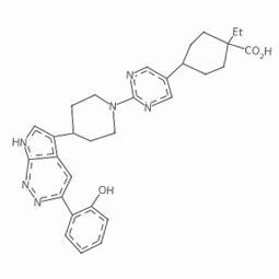 CCC1(C(=O)O)CCC(c2cnc(N3CCC(c4c[nH]c5nnc(-c6ccccc6O)cc45)CC3)nc2)CC1